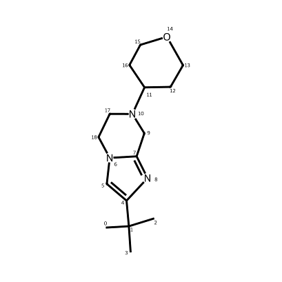 CC(C)(C)c1cn2c(n1)CN(C1CCOCC1)CC2